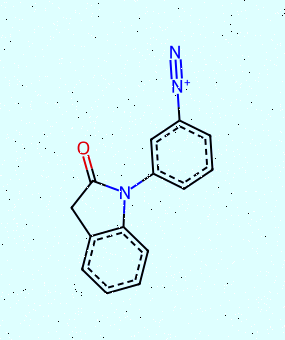 N#[N+]c1cccc(N2C(=O)Cc3ccccc32)c1